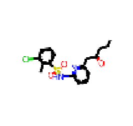 CCCC(=O)Cc1cccc(NS(=O)(=O)c2cccc(Cl)c2C)n1